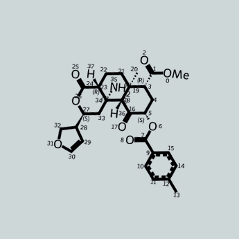 COC(=O)[C@@H]1C[C@H](OC(=O)c2ccc(C)cc2)C(=O)[C@H]2[C@@]1(C)CC[C@H]1C(=O)O[C@H](C3C=COC3)C[C@@]12N